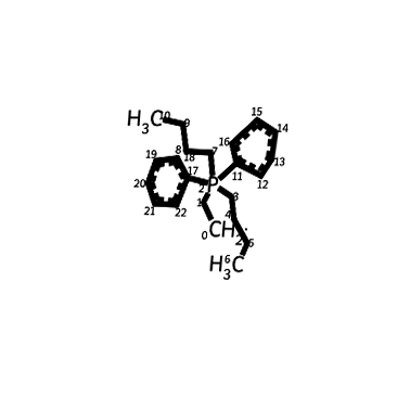 [CH2]CP(CCCC)(CCCC)(c1ccccc1)c1ccccc1